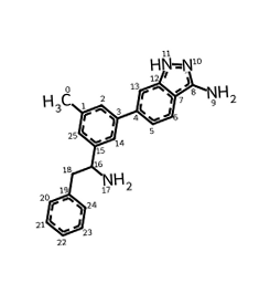 Cc1cc(-c2ccc3c(N)n[nH]c3c2)cc(C(N)Cc2ccccc2)c1